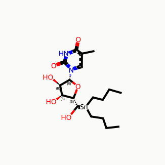 CCC[CH2][Sn]([CH2]CCC)=[C](O)[C@H]1O[C@@H](n2cc(C)c(=O)[nH]c2=O)[C@H](O)[C@@H]1O